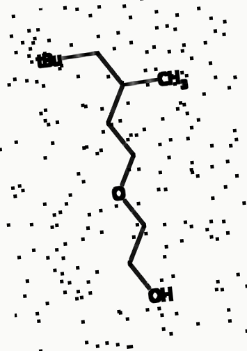 CC(CCOCCO)CC(C)(C)C